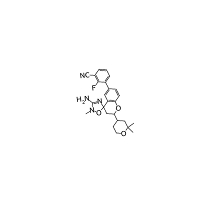 CN1OC2(CC(C3CCOC(C)(C)C3)Oc3ccc(-c4cccc(C#N)c4F)cc32)N=C1N